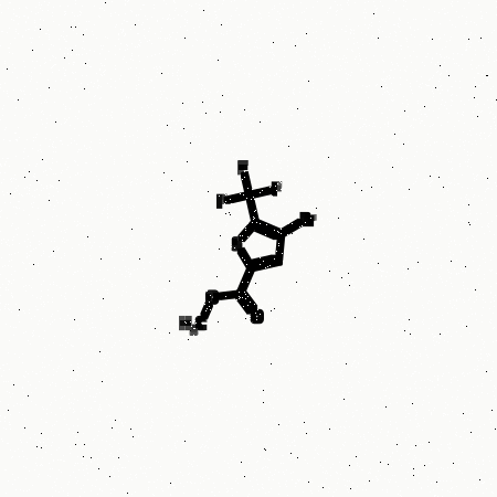 COC(=O)c1cc(Br)c(C(F)(F)F)s1